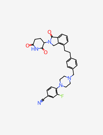 N#Cc1ccc(N2CCN(Cc3ccc(CCc4cccc5c4CN(C4CCC(=O)NC4=O)C5=O)cc3)CC2)c(F)c1